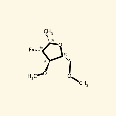 COC[C@H]1O[C@@H](C)[C@@H](F)[C@@H]1OC